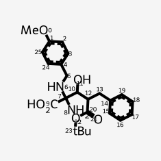 COc1ccc(CNC(N)(C(=O)O)C(O)C(Cc2ccccc2)C(=O)OC(C)(C)C)cc1